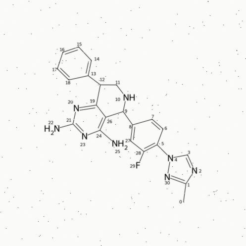 Cc1ncn(-c2ccc(C3NCC(c4ccccc4)c4nc(N)nc(N)c43)cc2F)n1